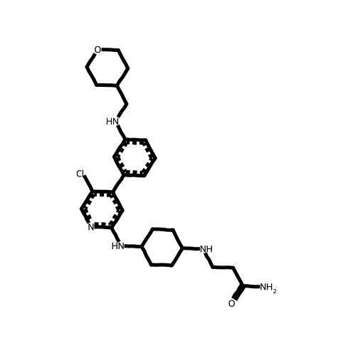 NC(=O)CCNC1CCC(Nc2cc(-c3cccc(NCC4CCOCC4)c3)c(Cl)cn2)CC1